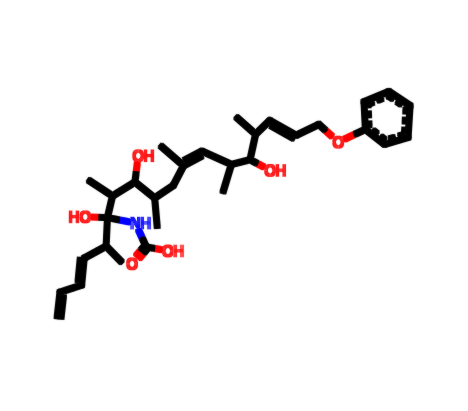 C=CC=CC(C)C(O)(NC(=O)O)C(C)C(O)C(C)CC(C)=CC(C)C(O)C(C)C=CCOc1ccccc1